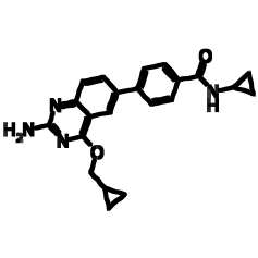 Nc1nc(OCC2CC2)c2cc(-c3ccc(C(=O)NC4CC4)cc3)ccc2n1